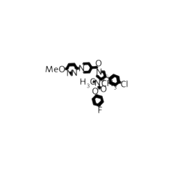 COc1ccc(N2CCC(C(=O)N3C[C@H](c4ccc(Cl)cc4)[C@@](C)(N(C)C(=O)Oc4ccc(F)cc4)C3)CC2)nn1